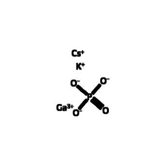 O=P([O-])([O-])[O-].[Cs+].[Ga+3].[K+]